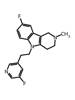 CN1CCc2c(c3cc(F)ccc3n2CCc2cncc(F)c2)C1